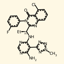 CC[C@H](Nc1ncnc(N)c1-c1nnn(C)n1)c1nc2cccc(Cl)c2c(=O)n1-c1cccc(F)c1